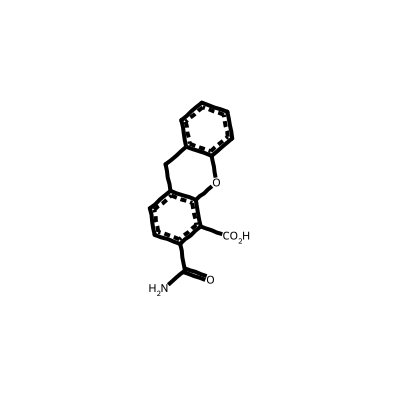 NC(=O)c1ccc2c(c1C(=O)O)Oc1ccccc1C2